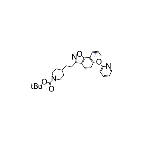 C/C=C\c1c(Oc2ccccn2)ccc2c(CCC3CCN(C(=O)OC(C)(C)C)CC3)noc12